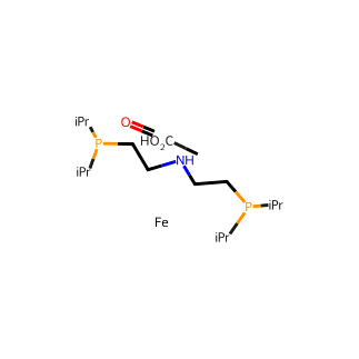 C=O.CC(=O)O.CC(C)P(CCNCCP(C(C)C)C(C)C)C(C)C.[Fe]